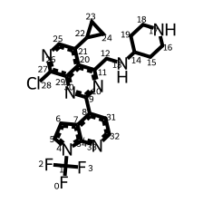 FC(F)(F)n1ccc2c(-c3nc(CNC4CCNCC4)c4c(C5CC5)cnc(Cl)c4n3)ccnc21